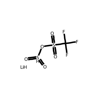 O=[SH](=O)OS(=O)(=O)C(F)(F)F.[LiH]